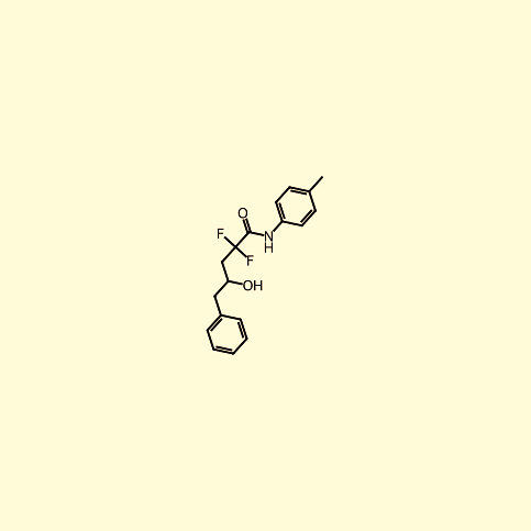 Cc1ccc(NC(=O)C(F)(F)CC(O)Cc2ccccc2)cc1